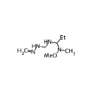 C=NNCNC(CC)N(C)OC